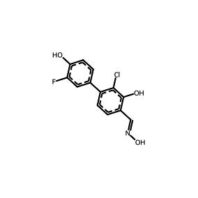 ON=Cc1ccc(-c2ccc(O)c(F)c2)c(Cl)c1O